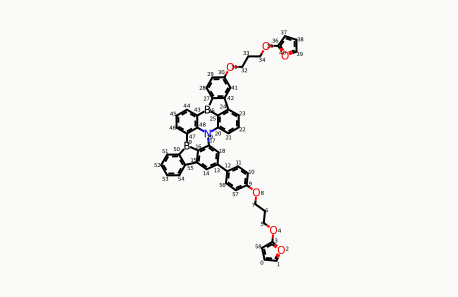 c1coc(OCCCOc2ccc(-c3cc4c5c(c3)N3c6cccc7c6B(c6ccc(OCCCOc8ccco8)cc6-7)c6cccc(c63)B5c3ccccc3-4)cc2)c1